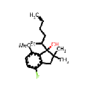 C=CCCC(CC)C1(O)c2c(OC)ccc(F)c2CC1(C)C